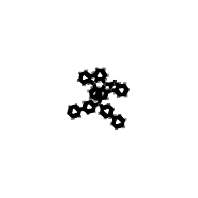 c1ccc(-c2ccc(N(c3ccc(-c4ccccc4)cc3)c3ccc4c(c3)n3c5ccccc5nc3n4-c3cccc4c5ccccc5n(-c5ccccc5)c34)cc2)cc1